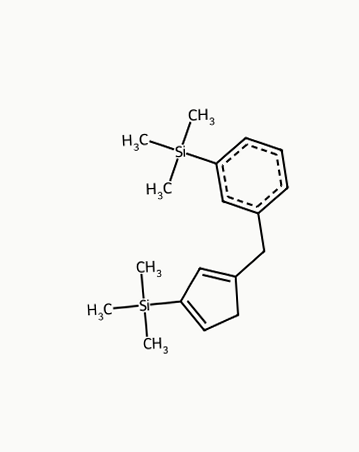 C[Si](C)(C)C1=CCC(Cc2cccc([Si](C)(C)C)c2)=C1